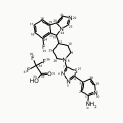 Nc1cc(-c2nnc(N3CCC(C4c5c(F)cccc5-c5cncn54)CC3)s2)ccn1.O=C(O)C(F)(F)F